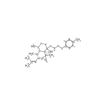 COC1C(O)CCC(O)(CSCCc2ccc(C)cc2)C1C1(C)OC1CC=C(C)C